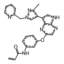 C=CC(=O)Nc1cccc(Oc2cnc3[nH]cc(-c4cn(Cc5ccccn5)nc4C)c3n2)c1